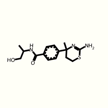 CC(CO)NC(=O)c1ccc(C2(C)CCSC(N)=N2)cc1